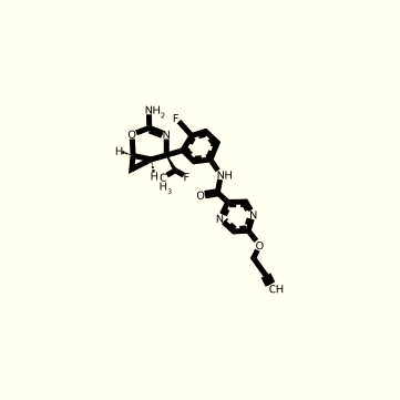 C#CCOc1cnc(C(=O)Nc2ccc(F)c([C@@]3(C(C)F)N=C(N)O[C@@H]4C[C@@H]43)c2)cn1